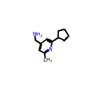 Cc1cc(CN)cc(C2CCCC2)n1